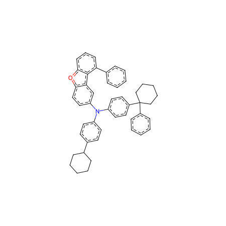 c1ccc(-c2cccc3oc4ccc(N(c5ccc(C6CCCCC6)cc5)c5ccc(C6(c7ccccc7)CCCCC6)cc5)cc4c23)cc1